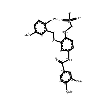 COc1ccc(OC)c(COc2cc(NC(=O)c3ccc(OC)c(OC)c3)ccc2NCS(C)(=O)=O)c1